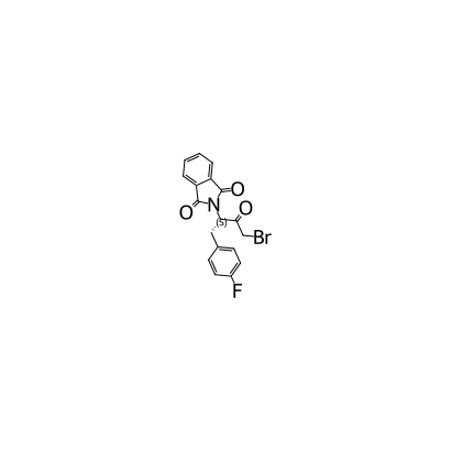 O=C(CBr)[C@H](Cc1ccc(F)cc1)N1C(=O)c2ccccc2C1=O